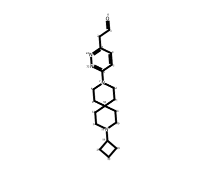 O=CCc1ccc(N2CCC3(CC2)CCN(C2CCC2)CC3)nn1